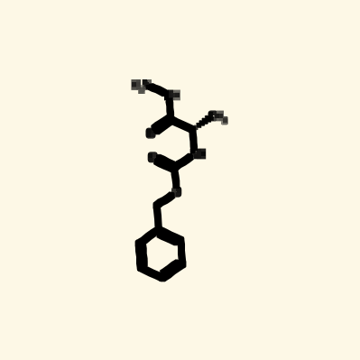 C[C@H](NC(=O)OCc1ccccc1)C(=O)NN